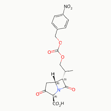 CC(COC(=O)OCc1ccc([N+](=O)[O-])cc1)[C@@H]1C(=O)N2[C@@H](C(=O)O)C(=O)C[C@H]12